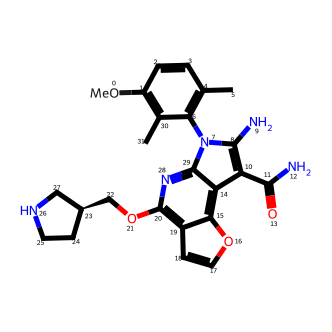 COc1ccc(C)c(-n2c(N)c(C(N)=O)c3c4occc4c(OC[C@H]4CCNC4)nc32)c1C